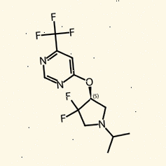 CC(C)N1C[C@H](Oc2cc(C(F)(F)F)ncn2)C(F)(F)C1